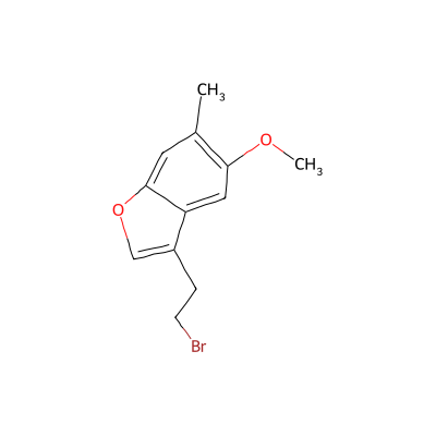 COc1cc2c(CCBr)coc2cc1C